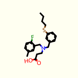 CCCCSc1cccc(CN(CCC(=O)O)Cc2cc(C)ccc2F)c1